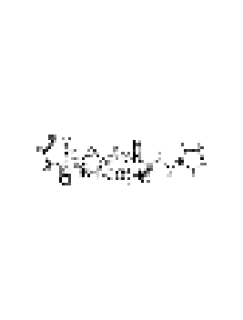 O=C(CCC1CCCC1)N/C(=C/c1cnc(-c2ccccc2Cl)s1)C(=O)O